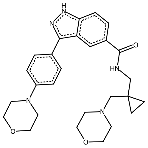 O=C(NCC1(CN2CCOCC2)CC1)c1ccc2[nH]nc(-c3ccc(N4CCOCC4)cc3)c2c1